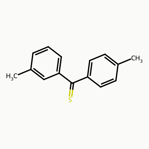 Cc1ccc(C(=S)c2cccc(C)c2)cc1